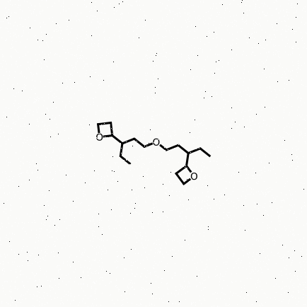 CCC(CCOCCC(CC)C1CCO1)C1CCO1